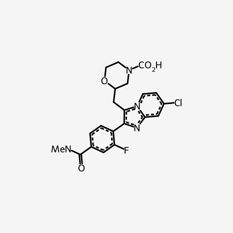 CNC(=O)c1ccc(-c2nc3cc(Cl)ccn3c2CC2CN(C(=O)O)CCO2)c(F)c1